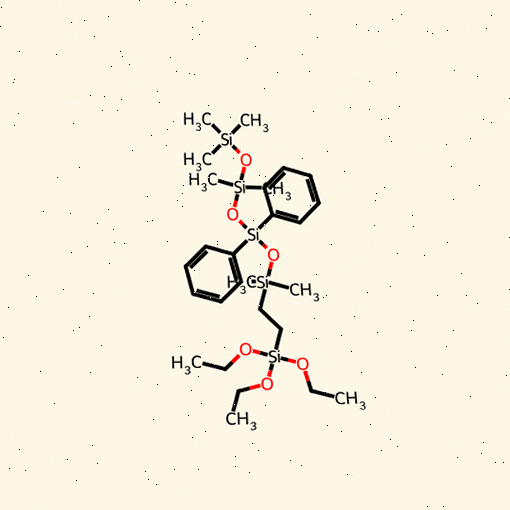 CCO[Si](CC[Si](C)(C)O[Si](O[Si](C)(C)O[Si](C)(C)C)(c1ccccc1)c1ccccc1)(OCC)OCC